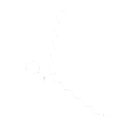 C=C(C1=CCCCC1)P(=O)(OCCCCCCCCCCCCCCCCCC)OCCCCCCCCCCCCCCCCCC